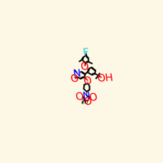 Cc1cc(F)cc(C)c1Oc1ccc(C(C)(C)O)cc1-c1cn(C)c(=O)cc1O[C@H]1CC[C@H](N2C(=O)O[C@@H](C)C2=O)CC1